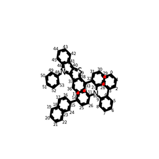 c1ccc(-c2ccccc2N(c2ccc(-c3ccc4ccccc4c3)cc2)c2ccccc2-c2cccc3c2sc2c4ccccc4n(-c4ccccc4)c32)cc1